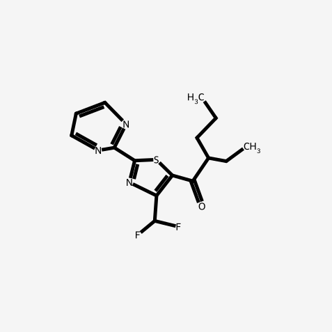 CCCC(CC)C(=O)c1sc(-c2ncccn2)nc1C(F)F